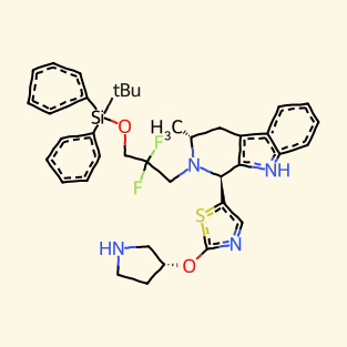 C[C@@H]1Cc2c([nH]c3ccccc23)[C@@H](c2cnc(O[C@@H]3CCNC3)s2)N1CC(F)(F)CO[Si](c1ccccc1)(c1ccccc1)C(C)(C)C